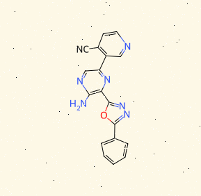 N#Cc1ccncc1-c1cnc(N)c(-c2nnc(-c3ccccc3)o2)n1